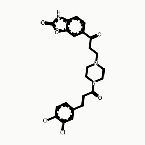 O=C(CCN1CCN(C(=O)CCc2ccc(Cl)c(Cl)c2)CC1)c1ccc2[nH]c(=O)oc2c1